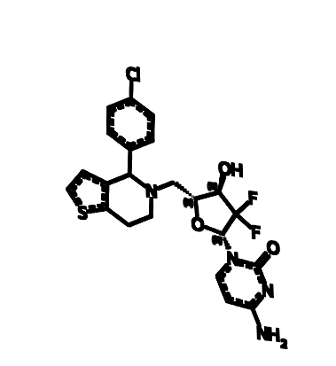 Nc1ccn([C@@H]2O[C@H](CN3CCc4sccc4C3c3ccc(Cl)cc3)[C@@H](O)C2(F)F)c(=O)n1